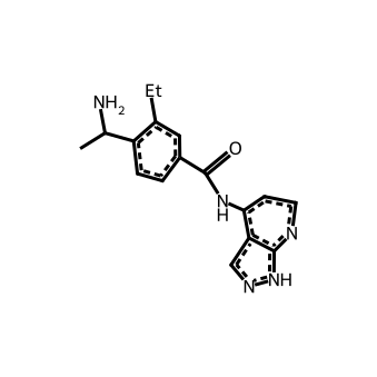 CCc1cc(C(=O)Nc2ccnc3[nH]ncc23)ccc1C(C)N